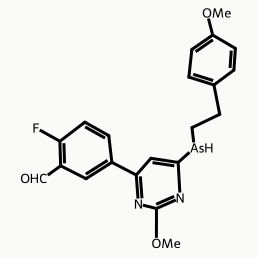 COc1ccc(CC[AsH]c2cc(-c3ccc(F)c(C=O)c3)nc(OC)n2)cc1